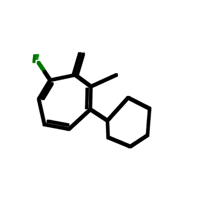 C=C1C(F)=CC=CC(C2CCCCC2)=C1C